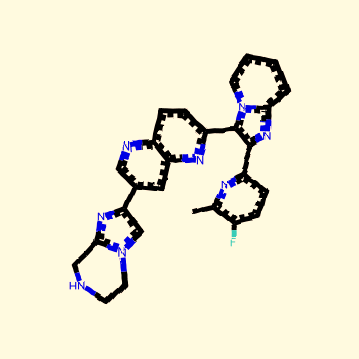 Cc1nc(-c2nc3ccccn3c2-c2ccc3ncc(-c4cn5c(n4)CNCC5)cc3n2)ccc1F